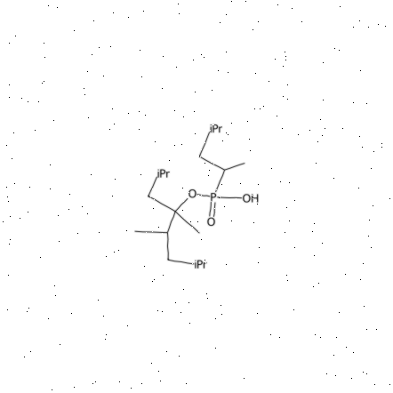 CC(C)CC(C)C(C)(CC(C)C)OP(=O)(O)C(C)CC(C)C